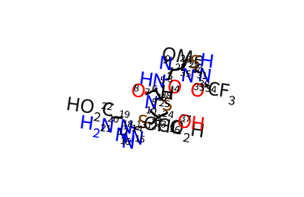 CON=C(C(=O)NC1C(=O)N2CC(CSc3nnnn3CC(N)C(=O)O)(C(=O)O)CS[C@H]12)c1csc(NC(=O)C(F)(F)F)n1.O=CO